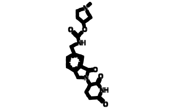 CN1CCC(OC(=O)NCc2ccc3c(c2)C(=O)N(C2CCC(=O)NC2=O)C3)C1